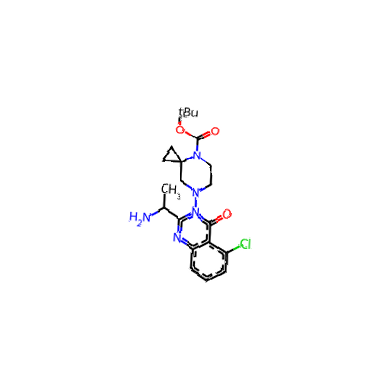 CC(N)c1nc2cccc(Cl)c2c(=O)n1N1CCN(C(=O)OC(C)(C)C)C2(CC2)C1